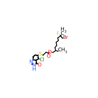 CCC(CCCCCC(C)(F)CBr)COC(=O)CCSc1ccc2nc[nH]c(=O)c2c1Cl